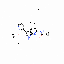 O=C(Nc1ccc2c(-c3cccnc3OC3CC3)c[nH]c2n1)[C@@H]1C[C@@H]1F